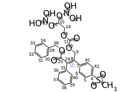 CS(=O)(=O)c1ccc(/C(COC(=O)OCC(ON(O)O)ON(O)O)=C(/C(=O)OCc2ccccc2)c2ccccc2)cc1